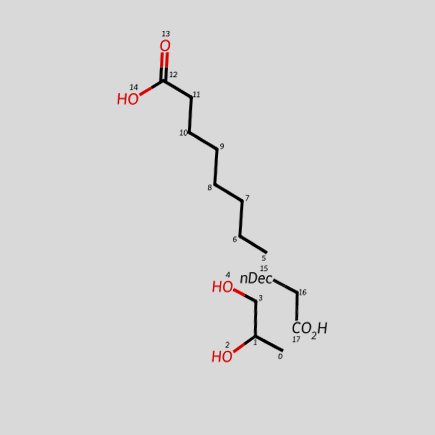 CC(O)CO.CCCCCCCC(=O)O.CCCCCCCCCCCC(=O)O